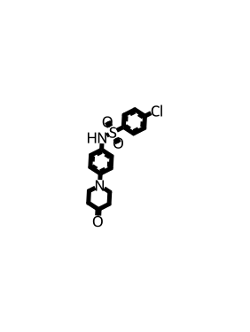 O=C1CCN(c2ccc(NS(=O)(=O)c3ccc(Cl)cc3)cc2)CC1